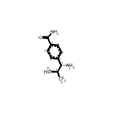 NC(=O)c1ccc([C@H](N)C(O)C(F)(F)F)cc1